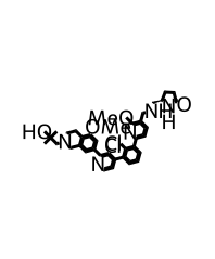 COc1cc(-c2nccc(-c3cccc(-c4ccc(CNC[C@H]5CCC(=O)N5)c(OC)n4)c3Cl)c2Cl)cc2c1CCN(CC(C)(C)O)C2